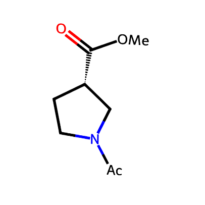 COC(=O)[C@H]1CCN(C(C)=O)C1